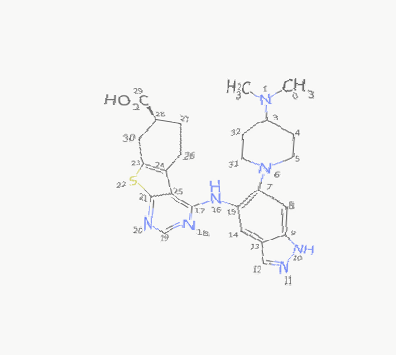 CN(C)C1CCN(c2cc3[nH]ncc3cc2Nc2ncnc3sc4c(c23)CC[C@H](C(=O)O)C4)CC1